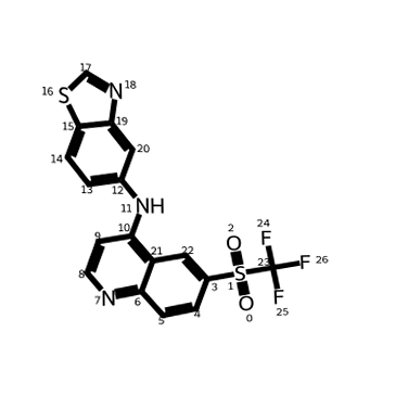 O=S(=O)(c1ccc2nccc(Nc3ccc4scnc4c3)c2c1)C(F)(F)F